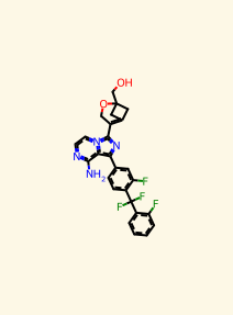 Nc1nccn2c(C3=C4CC(CO)(C4)OC3)nc(-c3ccc(C(F)(F)c4ccccc4F)c(F)c3)c12